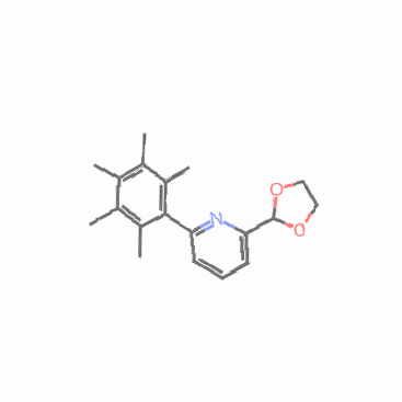 Cc1c(C)c(C)c(-c2cccc(C3OCCO3)n2)c(C)c1C